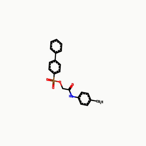 O=C(COS(=O)(=O)c1ccc(-c2ccccc2)cc1)Nc1ccc(C(=O)O)cc1